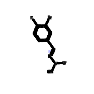 CC(C)(C)[S+]([O-])/N=C/c1ccc(F)c(Br)c1